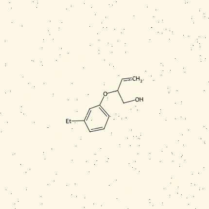 C=CC(CO)Oc1cccc(CC)c1